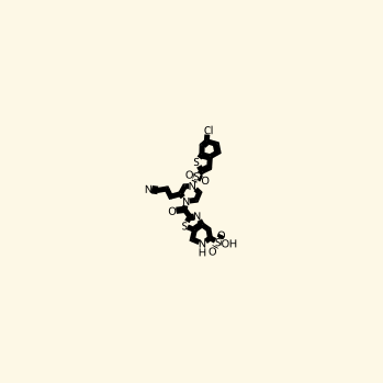 N#CCCC1CN(S(=O)(=O)c2cc3ccc(Cl)cc3s2)CCN1C(=O)c1nc2c(s1)CNC(S(=O)(=O)O)C2